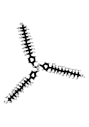 FC(F)(F)C(F)(F)C(F)(F)C(F)(F)C(F)(F)C(F)(F)C(F)(F)C(F)(F)C(F)(F)C(F)(F)c1ccc(OP(Oc2ccc(C(F)(F)C(F)(F)C(F)(F)C(F)(F)C(F)(F)C(F)(F)C(F)(F)C(F)(F)C(F)(F)C(F)(F)F)cc2)Oc2ccc(C(F)(F)C(F)(F)C(F)(F)C(F)(F)C(F)(F)C(F)(F)C(F)(F)C(F)(F)C(F)(F)C(F)(F)F)cc2)cc1